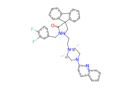 C[C@@H]1CN(c2ccc3ccccc3n2)C[C@H](C)N1CCCCC1(C(=O)NCc2ccc(F)c(F)c2)c2ccccc2-c2ccccc21